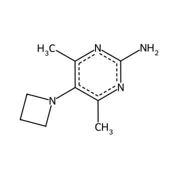 Cc1nc(N)nc(C)c1N1CCC1